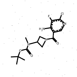 CN(C(=O)OC(C)(C)C)C1CN(C(=O)c2cnc(Cl)c(F)c2N)C1